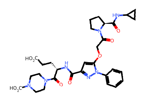 O=C(O)CC[C@H](NC(=O)c1cc(OCC(=O)N2CCC[C@H]2C(=O)NC2CC2)n(-c2ccccc2)n1)C(=O)N1CCN(C(=O)O)CC1